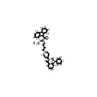 O=C(NC1CCN(CCCCN(CC(F)(F)F)C(=O)C2c3ccccc3-c3ccccc32)CC1)c1ccccc1Oc1ccccc1